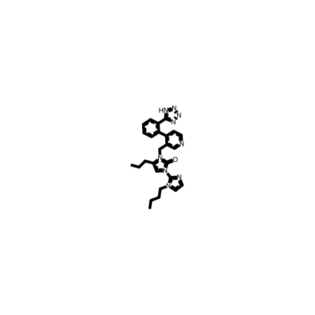 CCCCn1ccnc1-n1cc(CCC)n(Cc2cnccc2-c2ccccc2-c2nnn[nH]2)c1=O